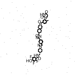 Cc1ccc(C(=O)N2CCC3(CCC(c4nc(-c5ccc6cn([C@H]7CC[C@H](CNC(=O)c8cc(F)c(O)c(F)c8F)CC7)nc6c5)no4)CC3)CC2)cc1N1CCC(=O)NC1=O